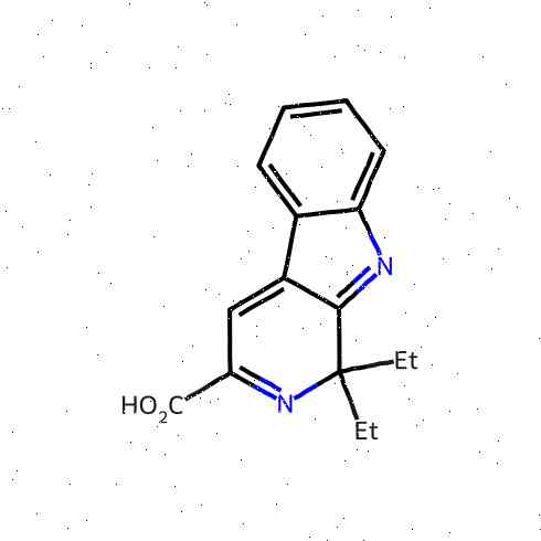 CCC1(CC)N=C(C(=O)O)C=C2C1=Nc1ccccc12